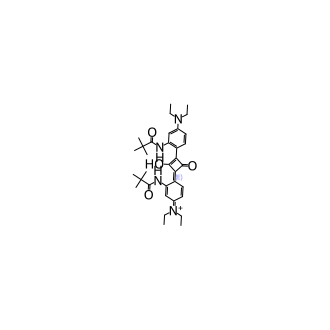 CCN(CC)c1ccc(C2=C(O)/C(=C3/C=CC(=[N+](CC)CC)C=C3NC(=O)C(C)(C)C)C2=O)c(NC(=O)C(C)(C)C)c1